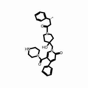 C[C@H](CC(=O)N1CCC(O)(Cn2cc(C(=O)N3CCNCC3)c(-c3ccccc3)cc2=O)CC1)c1ccccc1